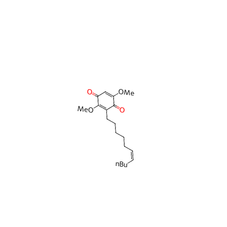 CCCC/C=C\CCCCCC1=C(OC)C(=O)C=C(OC)C1=O